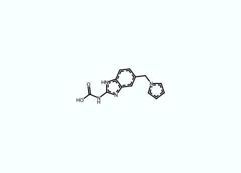 O=C(O)Nc1nc2cc(Cn3cccc3)ccc2[nH]1